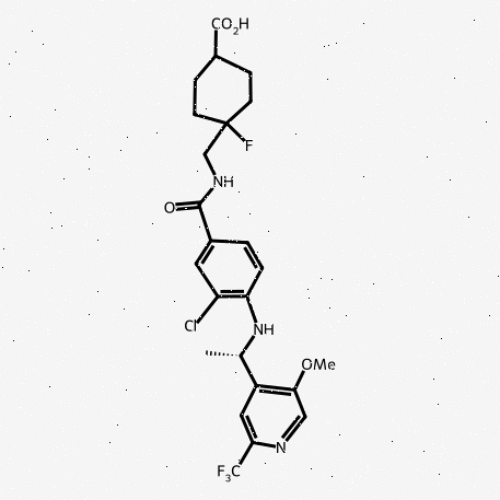 COc1cnc(C(F)(F)F)cc1[C@H](C)Nc1ccc(C(=O)NCC2(F)CCC(C(=O)O)CC2)cc1Cl